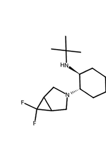 CC(C)(C)N[C@H]1CCCC[C@@H]1N1CC2C(C1)C2(F)F